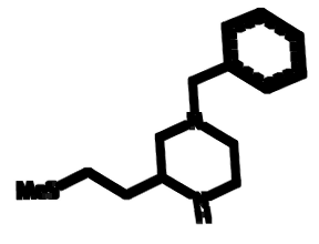 CSCCC1CN(Cc2ccccc2)CCN1